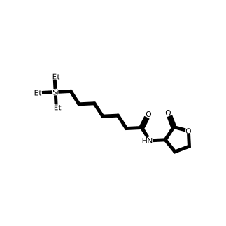 CC[Si](CC)(CC)CCCCCCC(=O)NC1CCOC1=O